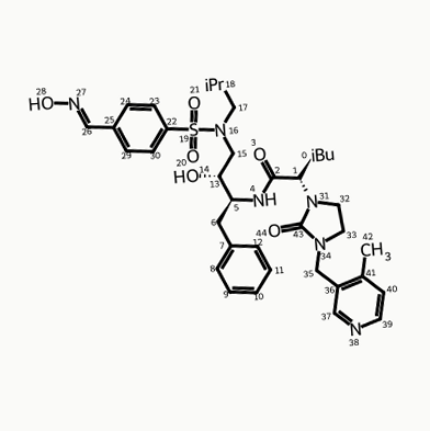 CC[C@H](C)[C@@H](C(=O)N[C@@H](Cc1ccccc1)[C@H](O)CN(CC(C)C)S(=O)(=O)c1ccc(C=NO)cc1)N1CCN(Cc2cnccc2C)C1=O